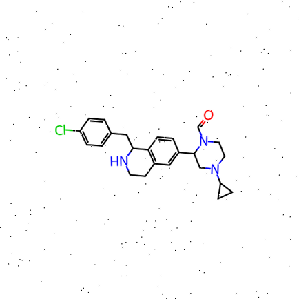 O=CN1CCN(C2CC2)CC1c1ccc2c(c1)CCNC2Cc1ccc(Cl)cc1